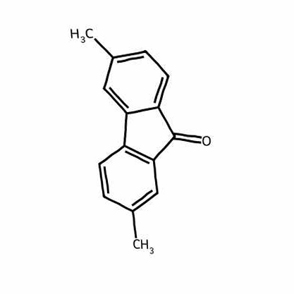 Cc1ccc2c(c1)C(=O)c1ccc(C)cc1-2